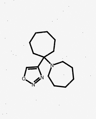 c1onnc1C1(N2CCCCCC2)CCCCCC1